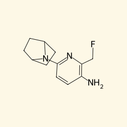 Nc1ccc(N2C3CCC2CC3)nc1CF